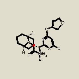 CCNC(=O)CN1[C@@H]2CCC[C@H]1C[C@H](N(C)c1nc(Cl)cc(O[C@H]3CCOC3)n1)C2